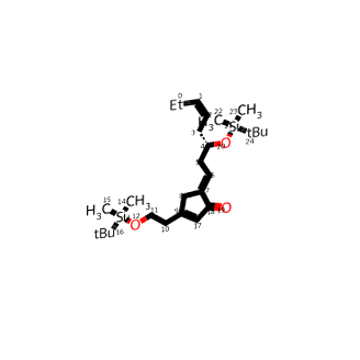 CC/C=C\C[C@@H](C/C=C1\CC(CCO[Si](C)(C)C(C)(C)C)=CC1=O)O[Si](C)(C)C(C)(C)C